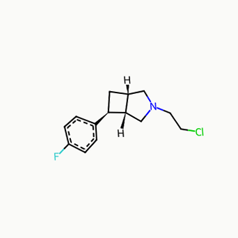 Fc1ccc([C@H]2C[C@@H]3CN(CCCl)C[C@@H]32)cc1